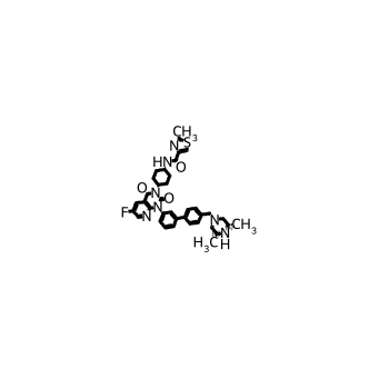 Cc1nc(C(=O)N[C@H]2CC[C@@H](n3c(=O)c4cc(F)cnc4n(-c4cccc(-c5ccc(CN6C[C@@H](C)N[C@@H](C)C6)cc5)c4)c3=O)CC2)cs1